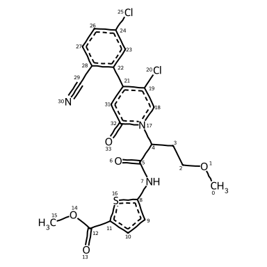 COCCC(C(=O)Nc1ccc(C(=O)OC)s1)n1cc(Cl)c(-c2cc(Cl)ccc2C#N)cc1=O